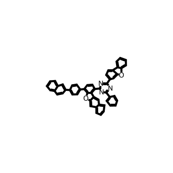 c1ccc(-c2nc(-c3ccc4c(c3)oc3ccccc34)nc(-c3ccc(-c4ccc(-c5ccc6ccccc6c5)cc4)c4oc5cc6ccccc6cc5c34)n2)cc1